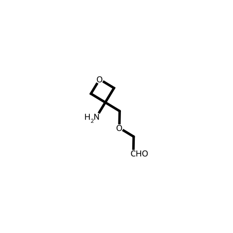 NC1(COCC=O)COC1